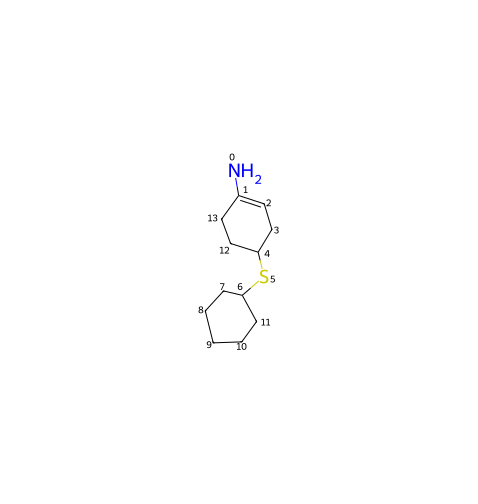 NC1=CCC(SC2CCCCC2)CC1